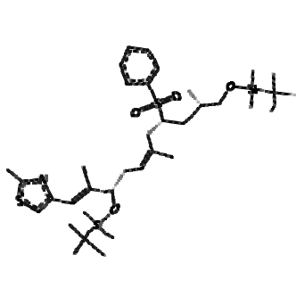 C/C(=C/C[C@H](O[Si](C)(C)C(C)(C)C)/C(C)=C/c1csc(C)n1)C[C@@H](C[C@H](C)CO[Si](C)(C)C(C)(C)C)S(=O)(=O)c1ccccc1